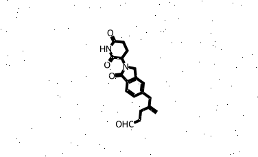 C=C(CCC=O)Cc1ccc2c(c1)CN(C1CCC(=O)NC1=O)C2=O